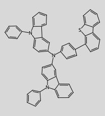 c1ccc(-n2c3ccccc3c3cc(N(c4ccc(-c5cccc6c5sc5ccccc56)cc4)c4ccc5c(c4)c4ccccc4n5-c4ccccc4)ccc32)cc1